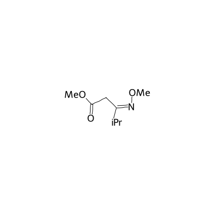 CON=C(CC(=O)OC)C(C)C